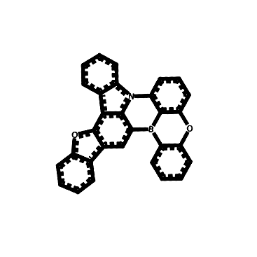 c1ccc2c(c1)Oc1cccc3c1B2c1cc2c4ccccc4oc2c2c4ccccc4n-3c12